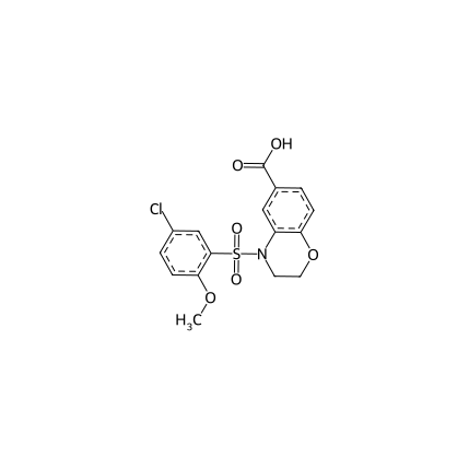 COc1ccc(Cl)cc1S(=O)(=O)N1CCOc2ccc(C(=O)O)cc21